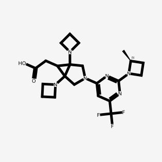 C[C@H]1CCN1c1nc(N2CC3(N4CCC4)C(CC(=O)O)C3(N3CCC3)C2)cc(C(F)(F)F)n1